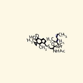 C=C/C(=C\C=C/C)[C@H](C)NC(=O)[C@H](CSCC1=CC=C2C(=O)[C@](C)(O)C3(CC3)C(C)=C12)NC(C)=O